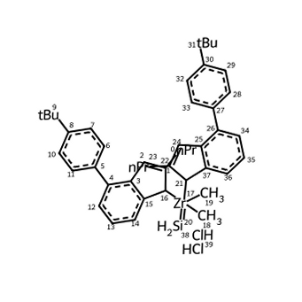 CCCC1=Cc2c(-c3ccc(C(C)(C)C)cc3)cccc2[CH]1[Zr]([CH3])([CH3])(=[SiH2])[CH]1C(CCC)=Cc2c(-c3ccc(C(C)(C)C)cc3)cccc21.Cl.Cl